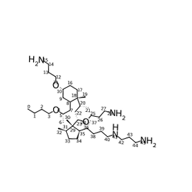 CCCCO[C@@H](C)CC1C[C@H](OCCCN)CC[C@]1(C)[C@H](C)C[C@H](OCCCN)[C@@]1(C)[C@H](C)CC[C@@H]1[C@H](C)CCCNCCCN